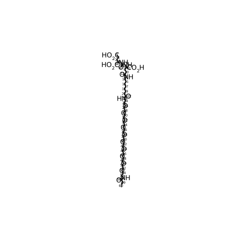 O=C(O)CC[C@H](NC(=O)N[C@@H](CCC(=O)NCCCCCCCC(=O)NCCOCCOCCOCCOCCOCCOCCOCCOCCOCCOCCNC(=O)CI)C(=O)O)C(=O)O